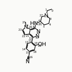 CCN1CCC[C@@H](Nc2nnc(-c3ccc(C#N)cc3O)c3ccn(C)c23)C1